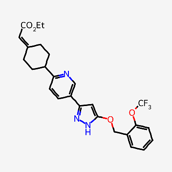 CCOC(=O)C=C1CCC(c2ccc(-c3cc(OCc4ccccc4OC(F)(F)F)[nH]n3)cn2)CC1